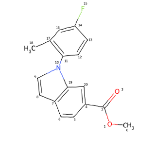 COC(=O)c1ccc2ccn(-c3ccc(F)cc3C)c2c1